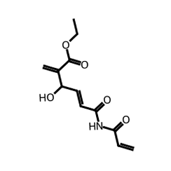 C=CC(=O)NC(=O)C=CC(O)C(=C)C(=O)OCC